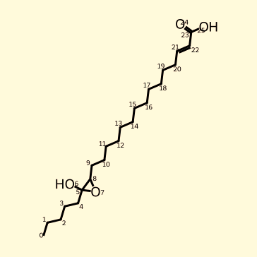 CCCCCC1(O)OC1CCCCCCCCCCCCC=CC(=O)O